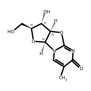 Cc1cn2c(nc1=O)O[C@@H]1[C@@H](O)[C@H](CO)O[C@@H]12